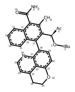 CC(=O)[C@@H](OC(C)(C)C)c1c(C)c(C(N)=O)c2ccccc2c1-c1ccc2c3c(ccnc13)CCO2